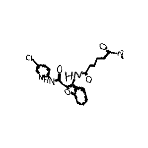 CN(C)C(=O)CCCCC(=O)Nc1c(C(=O)Nc2ccc(Cl)cn2)oc2ccccc12